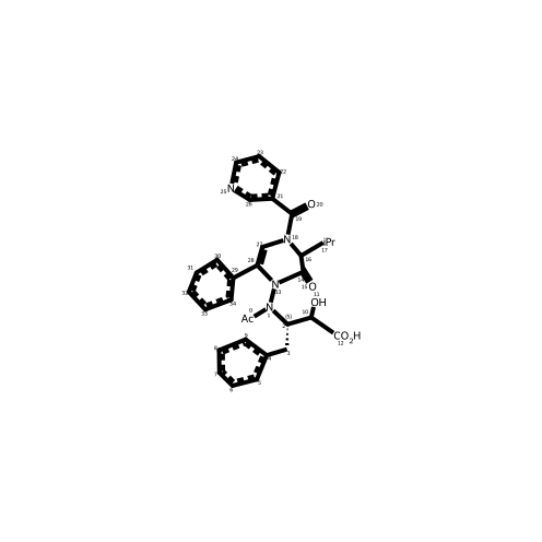 CC(=O)N([C@@H](Cc1ccccc1)C(O)C(=O)O)N1C(=O)C(C(C)C)N(C(=O)c2cccnc2)C=C1c1ccccc1